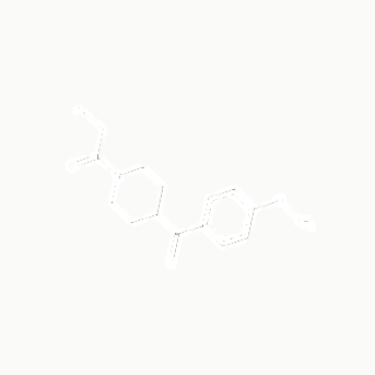 COc1ccc(C(=O)C2CCN(C(=O)CCl)CC2)cc1